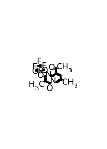 CC(=O)c1cc(C)cn2c(=O)c(C)c(OS(=O)(=O)C(F)(F)F)nc12